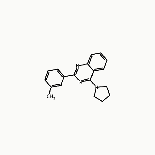 Cc1cccc(-c2nc(N3CCCC3)c3ccccc3n2)c1